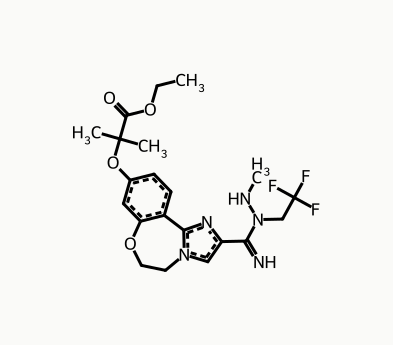 CCOC(=O)C(C)(C)Oc1ccc2c(c1)OCCn1cc(C(=N)N(CC(F)(F)F)NC)nc1-2